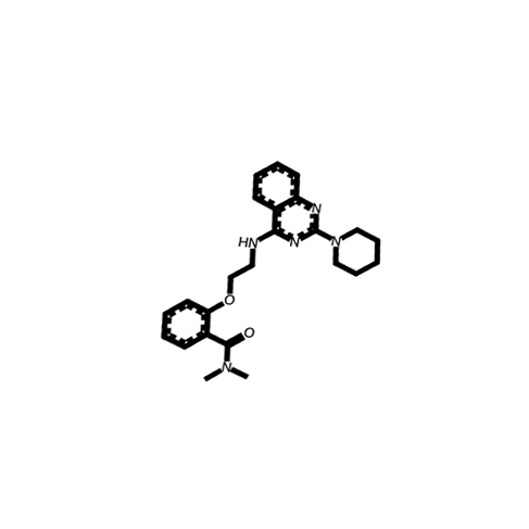 CN(C)C(=O)c1ccccc1OCCNc1nc(N2CCCCC2)nc2ccccc12